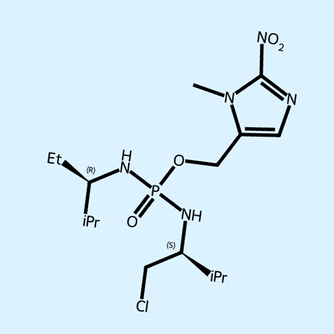 CC[C@@H](NP(=O)(N[C@H](CCl)C(C)C)OCc1cnc([N+](=O)[O-])n1C)C(C)C